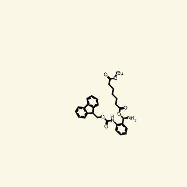 CC(C)(C)OC(=O)CCCCCC(=O)OC(N)c1ccccc1NC(=O)OCC1c2ccccc2-c2ccccc21